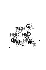 COc1cc(NC(=O)CCCN(C(=O)O)C(C)(C)C)ccc1Nc1nc2cc(F)ccc2o1.COc1cc(NC(=O)CCCNC(=O)OC(C)(C)C)ccc1Nc1nc2cc(F)ccc2o1